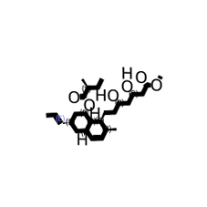 C/C=C/[C@@H]1C[C@H](OC(=O)[C@@H](C)CC)[C@@H]2[C@@H](CC[C@@H](O)C[C@@H](O)CC(=O)OC)[C@@H](C)C=C[C@H]2C1